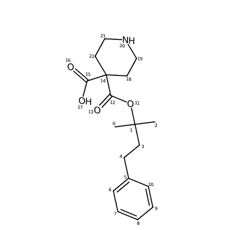 CC(C)(CCc1ccccc1)OC(=O)C1(C(=O)O)CCNCC1